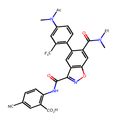 CCN(C)C(=O)c1cc2onc(C(=O)Nc3ccc(C#N)cc3C(=O)O)c2cc1-c1ccc(N(C)C(C)=O)cc1C(F)(F)F